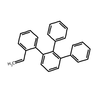 C=Cc1ccccc1-c1cccc(-c2ccccc2)c1-c1ccccc1